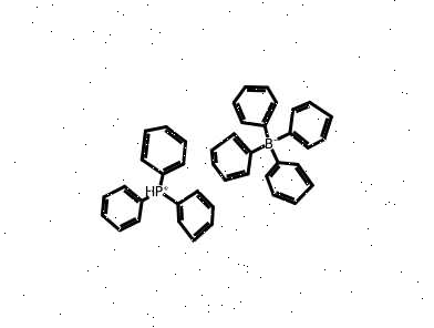 c1ccc([B-](c2ccccc2)(c2ccccc2)c2ccccc2)cc1.c1ccc([PH+](c2ccccc2)c2ccccc2)cc1